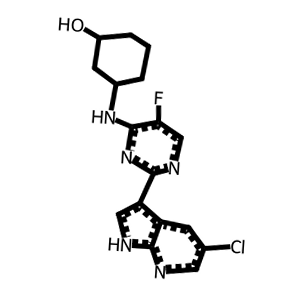 OC1CCCC(Nc2nc(-c3c[nH]c4ncc(Cl)cc34)ncc2F)C1